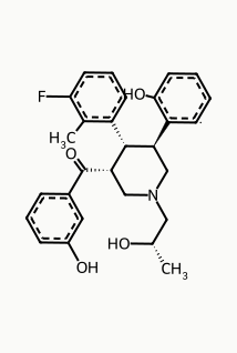 Cc1c(F)cccc1[C@H]1[C@@H](C(=O)c2cccc(O)c2)CN(C[C@H](C)O)C[C@@H]1c1[c]cccc1O